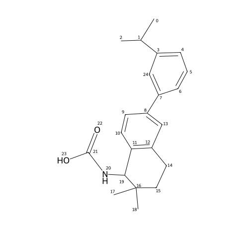 CC(C)c1cccc(-c2ccc3c(c2)CCC(C)(C)C3NC(=O)O)c1